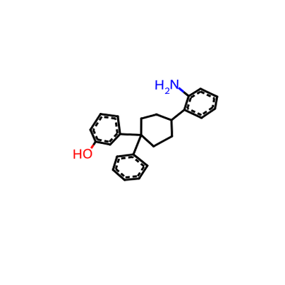 Nc1ccccc1C1CCC(c2ccccc2)(c2cccc(O)c2)CC1